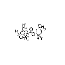 CC1CC[C@H](C(C)C)C(OC(=O)C2(CC=O)CC(C)(C)O2)C1